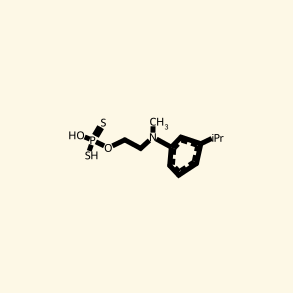 CC(C)c1cccc(N(C)CCOP(O)(=S)S)c1